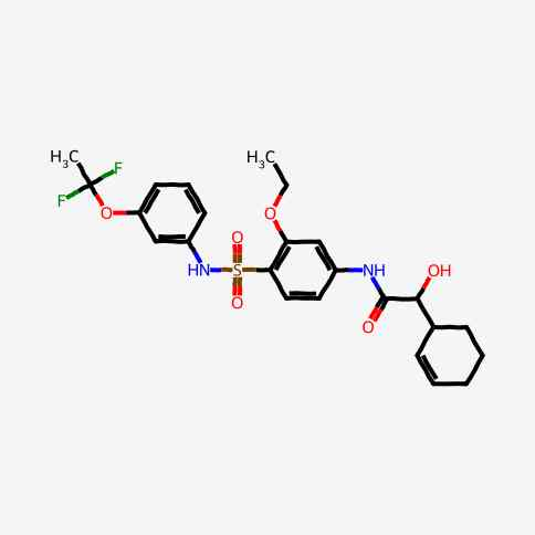 CCOc1cc(NC(=O)C(O)C2C=CCCC2)ccc1S(=O)(=O)Nc1cccc(OC(C)(F)F)c1